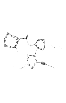 Cn1cc(C#CC(C)(C)C)c(-c2cc([N+](=O)[O-])ccc2NC(=O)c2ccccc2C(F)(F)F)n1